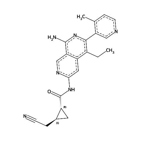 CCc1c(-c2cnccc2C)nc(N)c2cnc(NC(=O)[C@@H]3C[C@H]3CC#N)cc12